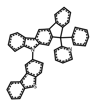 c1ccc(C2(c3ccccn3)c3ccccc3-c3cc4c5ccccc5n(-c5ccc6sc7ccccc7c6c5)c4cc32)cc1